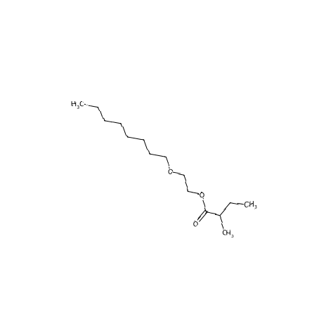 CCCCCCCCOCCOC(=O)C(C)CC